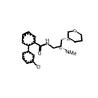 CN[C@H](CNC(=O)c1[c]cccc1-c1cccc(Cl)c1)C[C@H]1CCCOC1